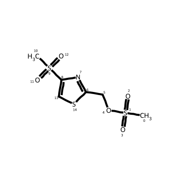 CS(=O)(=O)OCc1nc(S(C)(=O)=O)cs1